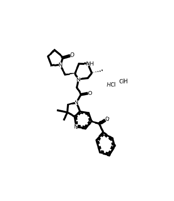 C[C@@H]1CN(CC(=O)N2CC(C)(C)c3ncc(C(=O)c4ccccc4)cc32)[C@@H](CN2CCCC2=O)CN1.Cl.Cl